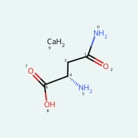 NC(=O)C[C@H](N)C(=O)O.[CaH2]